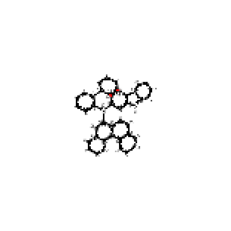 c1ccc(-c2ccccc2N(c2ccc3c(c2)sc2ccccc23)c2cc3ccccc3c3c2ccc2ccccc23)cc1